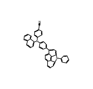 N#Cc1ccc(N(c2ccc(-c3ccc4c5c3ccc3cccc(c35)n4-c3ccccc3)cc2)c2cccc3ccccc23)cc1